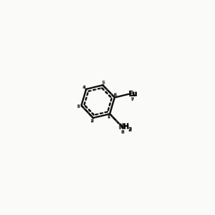 Nc1cccc[c]1[Eu]